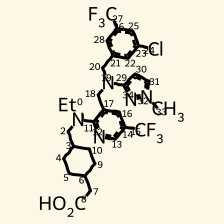 CCN(CC1CCC(CC(=O)O)CC1)c1ncc(C(F)(F)F)cc1CN(Cc1cc(Cl)cc(C(F)(F)F)c1)c1ccn(C)n1